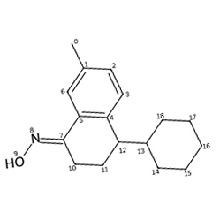 Cc1ccc2c(c1)C(=NO)CCC2C1CCCCC1